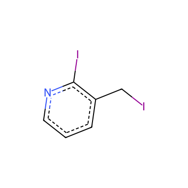 ICc1cccnc1I